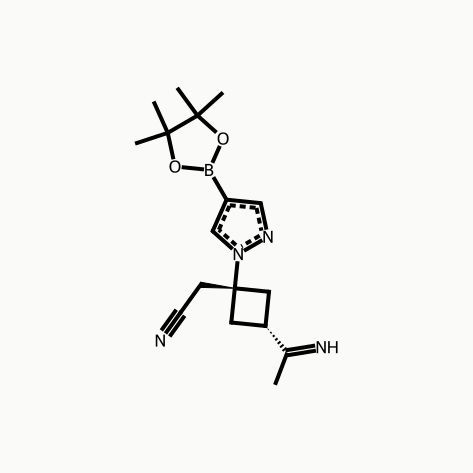 CC(=N)[C@H]1C[C@@](CC#N)(n2cc(B3OC(C)(C)C(C)(C)O3)cn2)C1